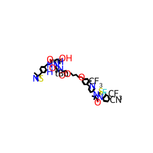 Cc1ncsc1-c1ccc(CNC(=O)[C@@H]2C[C@@H](O)CN2C(=O)[C@@H](NC(=O)COCCCCOc2ccc(-c3ccc(N4C(=S)N(c5ccc(C#N)c(C(F)(F)F)c5F)C(=O)C4(C)C)cn3)c(C(F)(F)F)c2)C(C)(C)C)cc1